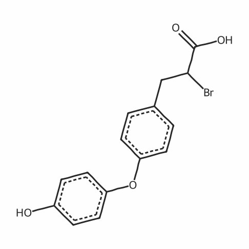 O=C(O)C(Br)Cc1ccc(Oc2ccc(O)cc2)cc1